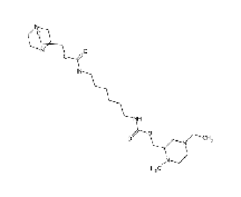 CCN1CCN(C)C(COC(=O)NCCCCCCNC(=O)OCC2CN3CCN2CC3)C1